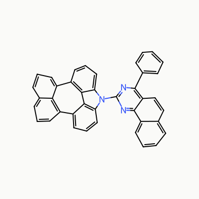 c1ccc(-c2nc(-n3c4cccc5c4c4c(cccc43)-c3cccc4cccc-5c34)nc3c2ccc2ccccc23)cc1